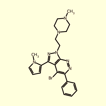 CN1CCN(CCn2nc(-c3cccn3C)c3c(Br)c(-c4ccccc4)nnc32)CC1